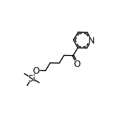 C[Si](C)(C)OCCCCC(=O)c1cccnc1